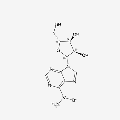 N[S+]([O-])c1ncnc2c1ncn2[C@@H]1O[C@H](CO)[C@@H](O)[C@H]1O